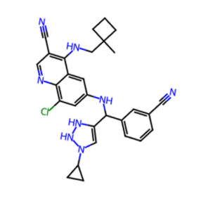 CC1(CNc2c(C#N)cnc3c(Cl)cc(NC(C4=CN(C5CC5)NN4)c4cccc(C#N)c4)cc23)CCC1